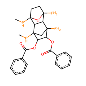 CPC12CCC(P)(O1)C1C2C2(PC)CC1(P)C(OC(=O)c1ccccc1)C2OC(=O)c1ccccc1